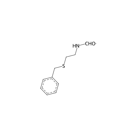 O=[C]NCCSCc1ccccc1